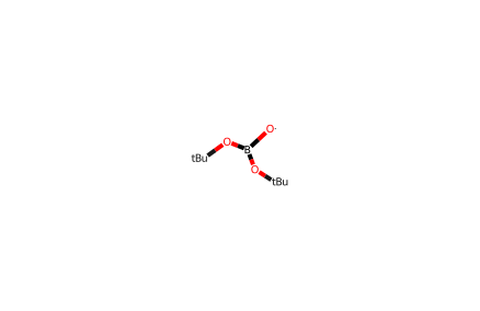 CC(C)(C)OB([O])OC(C)(C)C